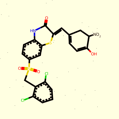 O=C1Nc2ccc(S(=O)(=O)Cc3c(Cl)cccc3Cl)cc2S/C1=C\C1=CC=C(O)C([N+](=O)[O-])C1